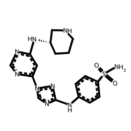 NS(=O)(=O)c1ccc(Nc2ncn(-c3cc(N[C@H]4CCCNC4)ncn3)n2)cc1